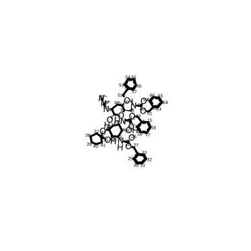 CN(C[C@H]1O[C@H](O[C@@H]2[C@@H](NC(=O)OCc3ccccc3)[C@H](O)[C@@H](NC(=O)OCc3ccccc3)[C@@H]3OC4(CCCCC4)O[C@@H]23)[C@H](N=[N+]=[N-])C[C@@H]1OCc1ccccc1)C(=O)OCc1ccccc1